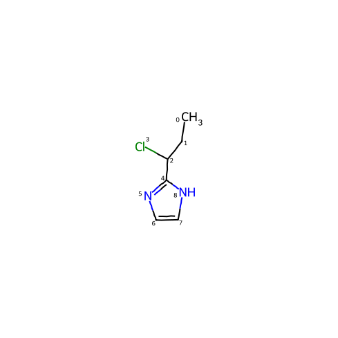 CCC(Cl)c1ncc[nH]1